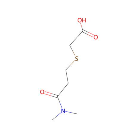 CN(C)C(=O)CCSCC(=O)O